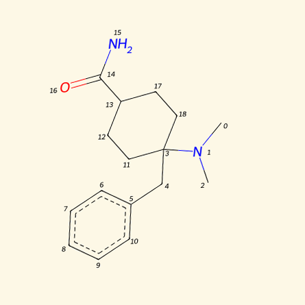 CN(C)C1(Cc2ccccc2)CCC(C(N)=O)CC1